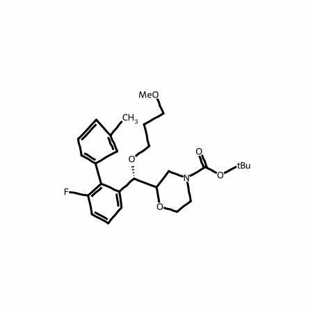 COCCCO[C@@H](c1cccc(F)c1-c1cccc(C)c1)C1CN(C(=O)OC(C)(C)C)CCO1